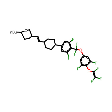 CCCCC1CCC(/C=C/C2CCC(c3cc(F)c(C(F)(F)Oc4cc(F)c(OC(F)=C(F)F)c(F)c4)c(F)c3)CC2)CC1